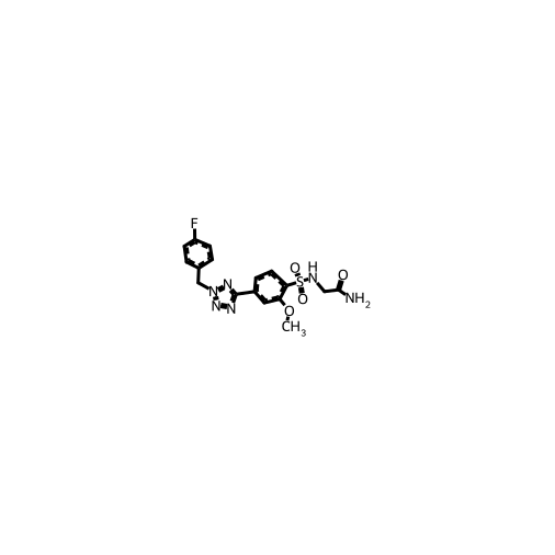 COc1cc(-c2nnn(Cc3ccc(F)cc3)n2)ccc1S(=O)(=O)NCC(N)=O